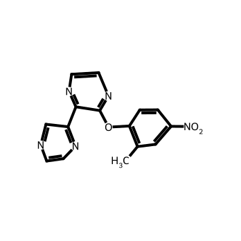 Cc1cc([N+](=O)[O-])ccc1Oc1nccnc1-c1cnccn1